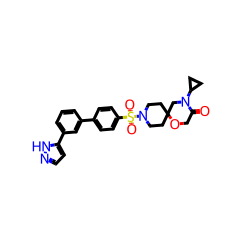 O=C1COC2(CCN(S(=O)(=O)c3ccc(-c4cccc(-c5ccn[nH]5)c4)cc3)CC2)CN1C1CC1